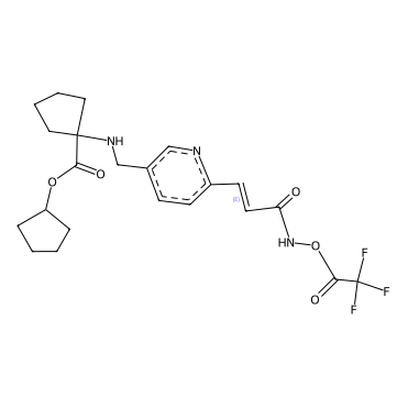 O=C(/C=C/c1ccc(CNC2(C(=O)OC3CCCC3)CCCC2)cn1)NOC(=O)C(F)(F)F